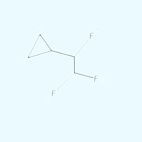 FC(F)C(F)C1CC1